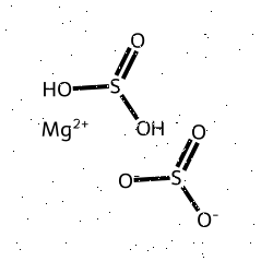 O=S(O)O.O=S([O-])[O-].[Mg+2]